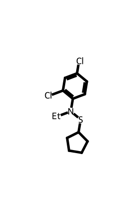 CCN(SC1CCCC1)c1ccc(Cl)cc1Cl